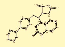 O=C1NC(=O)C(C(Cc2ccc(-c3ccccc3)cc2)c2cc(=O)[nH]c3ccccc23)S1